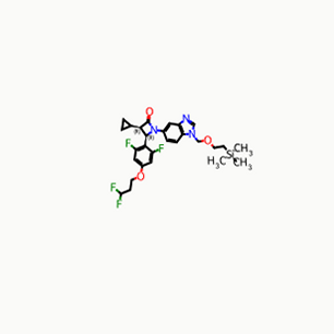 C[Si](C)(C)CCOCn1cnc2cc(N3C(=O)[C@H](C4CC4)[C@@H]3c3c(F)cc(OCCC(F)F)cc3F)ccc21